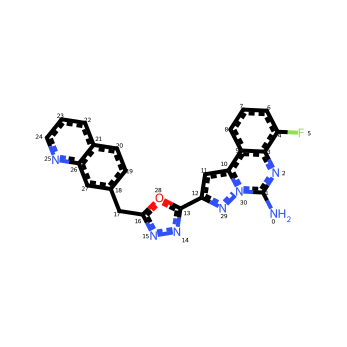 Nc1nc2c(F)cccc2c2cc(-c3nnc(Cc4ccc5cccnc5c4)o3)nn12